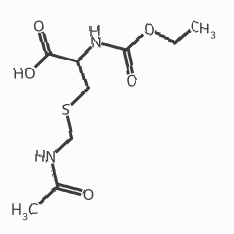 CCOC(=O)NC(CSCNC(C)=O)C(=O)O